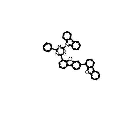 c1ccc(-c2nc(-c3cccc4c3oc3cc(-c5cccc6c5oc5ccccc56)ccc34)nc(-n3c4ccccc4c4ccccc43)n2)cc1